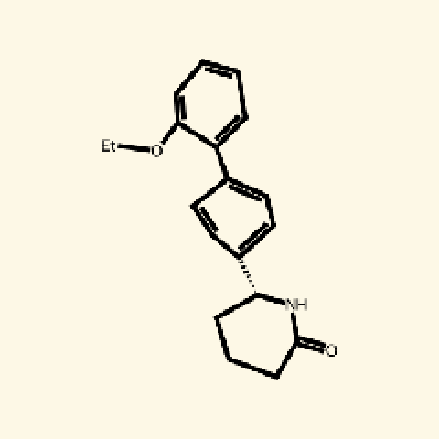 CCOc1ccccc1-c1ccc([C@H]2CCCC(=O)N2)cc1